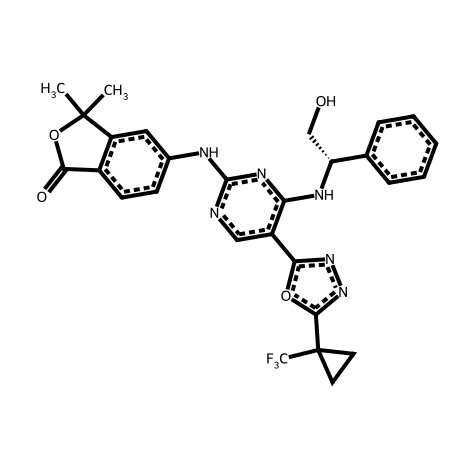 CC1(C)OC(=O)c2ccc(Nc3ncc(-c4nnc(C5(C(F)(F)F)CC5)o4)c(N[C@H](CO)c4ccccc4)n3)cc21